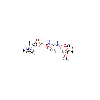 CCOCCC(C)(C)OCC(C)OCCC(=O)NCCCCC(NC(=O)CCCC(=O)Oc1ccc(C(C)CNC(C)(C)C)cc1CO)C(=O)CC